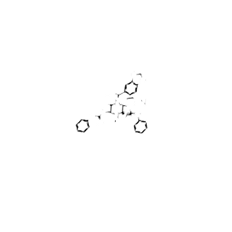 CCC(c1ccc2c(c1)OCO2)N1C(=O)[C@](C)(SC(=O)Oc2ccccc2)N(C)C(=O)[C@]1(CCC#N)SC(=O)Oc1ccccc1